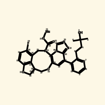 CC(C)(O)CCc1ncccc1-c1cc2c(n3cnnc13)N(C(=O)OC(C)(C)C)Cc1c(F)ccc3c1[C@H](CO3)CO2